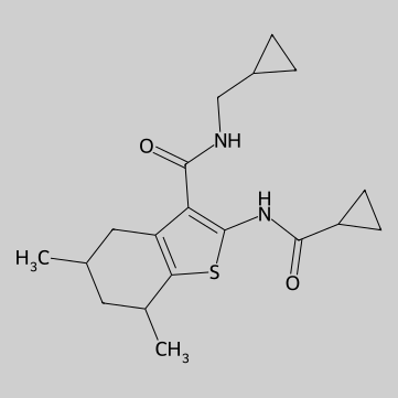 CC1Cc2c(sc(NC(=O)C3CC3)c2C(=O)NCC2CC2)C(C)C1